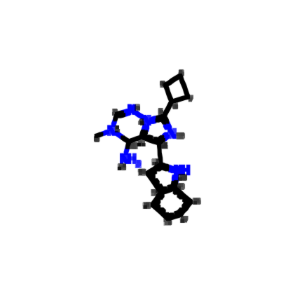 CN1C=Nn2c(C3CCC3)nc(-c3cc4ccccc4[nH]3)c2C1N